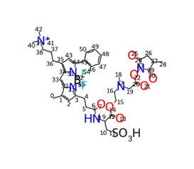 CC1=CC(CCC(=O)NC(CS(=O)(=O)O)C(=O)OCCN(C)CC(=O)ON2C(=O)CC(C)C2=O)=[N+]2C1=Cc1c(CCC[N+](C)(C)C)cc(-c3ccccc3)n1[B-]2(F)F